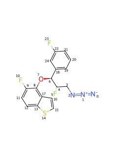 [N-]=[N+]=NC[C@H](F)[C@@H](Oc1c(F)ccc2sccc12)c1cccc(F)c1